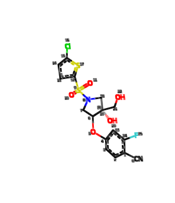 N#Cc1ccc(OC2CN(S(=O)(=O)c3ccc(Cl)s3)C[C@@]2(O)CO)cc1F